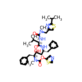 CC(C)c1nc(CN(C)C(=O)N[C@H](C(=O)N[C@H](Cc2ccccc2)C[C@H](O)[C@H](Cc2ccccc2)N(C)C(=O)Oc2cncs2)C(C)C)cs1